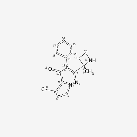 C[C@@]1(c2nn3ccc(Cl)c3c(=O)n2-c2ccccc2)CCN1